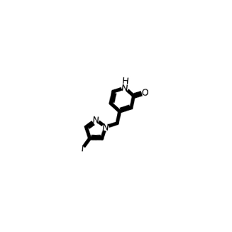 O=c1cc(Cn2cc(I)cn2)cc[nH]1